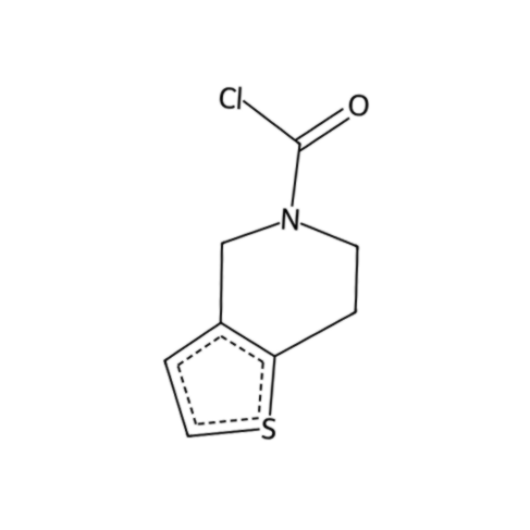 O=C(Cl)N1CCc2sccc2C1